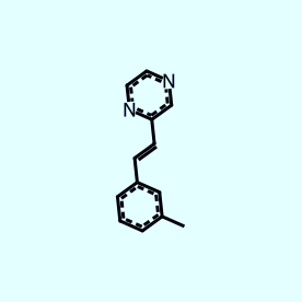 Cc1cccc(C=Cc2cnccn2)c1